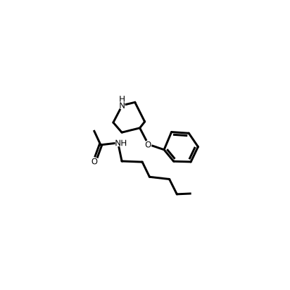 CCCCCCNC(C)=O.c1ccc(OC2CCNCC2)cc1